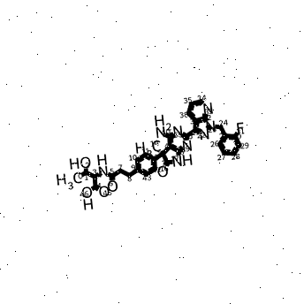 CC(O)C(NC(=O)CCc1ccc([C@@]2(C)C(=O)Nc3nc(-c4nn(Cc5ccccc5F)c5ncccc45)nc(N)c32)cc1)C(=O)O